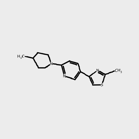 Cc1nc(-c2ccc(N3CCC(C)CC3)nc2)cs1